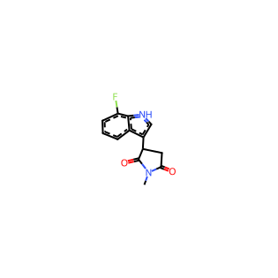 CN1C(=O)CC(c2c[nH]c3c(F)cccc23)C1=O